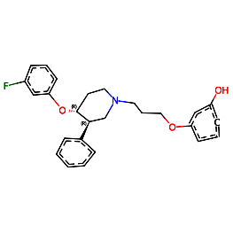 Oc1cccc(OCCCN2CC[C@@H](Oc3cccc(F)c3)[C@H](c3ccccc3)C2)c1